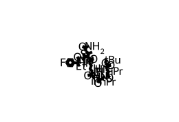 CCC(C(=O)Nc1sc(C(N)=O)c(C)c1C(=O)NCCNC(=O)[C@@H](NC(=O)[C@@H](NC(=O)[C@@H](NC(=O)OC(C)(C)C)C(C)C)C(C)C)C(C)C)c1ccc(F)cc1